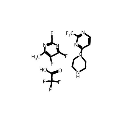 Cc1nc(F)nc(F)c1F.FC(F)(F)c1nccc(N2CCNCC2)n1.O=C(O)C(F)(F)F